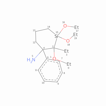 CCOC1(CC)C(N)(c2ccccc2)CCC[Si]1(OCC)OCC